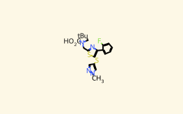 Cn1cc(Sc2sc(CN(CC(C)(C)C)C(=O)O)nc2-c2ccccc2F)cn1